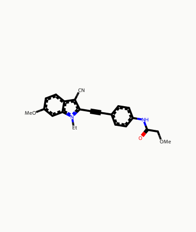 CCn1c(C#Cc2ccc(NC(=O)COC)cc2)c(C#N)c2ccc(OC)cc21